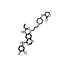 C=CC(=O)Nc1cc2c(Nc3ccc(F)c(Cl)c3)ncnc2cc1OCCCN1CCC(SC2CCOC2=O)CC1